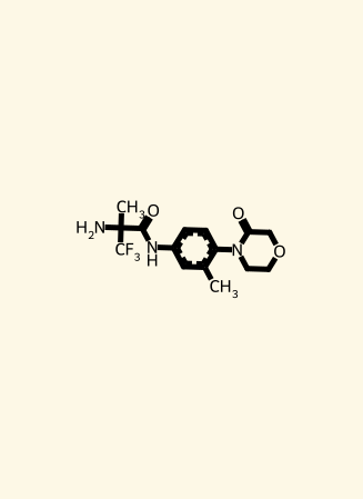 Cc1cc(NC(=O)C(C)(N)C(F)(F)F)ccc1N1CCOCC1=O